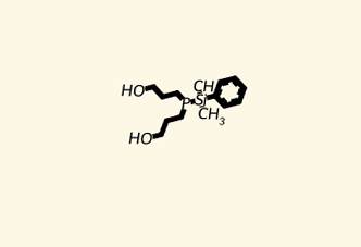 C[Si](C)(c1ccccc1)P(CCCO)CCCO